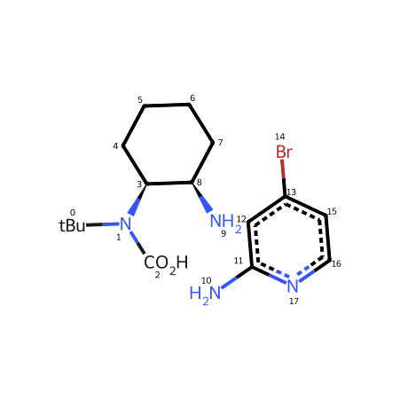 CC(C)(C)N(C(=O)O)[C@H]1CCCC[C@H]1N.Nc1cc(Br)ccn1